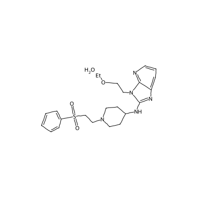 CCOCCn1c(NC2CCN(CCS(=O)(=O)c3ccccc3)CC2)nc2cccnc21.O